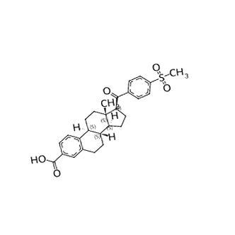 C[C@]12CC[C@@H]3c4ccc(C(=O)O)cc4CC[C@H]3[C@@H]1CC[C@@H]2C(=O)c1ccc(S(C)(=O)=O)cc1